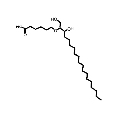 CCCCCCCCCCCCCCCCC(O)C(CO)OCCCCCC(=O)O